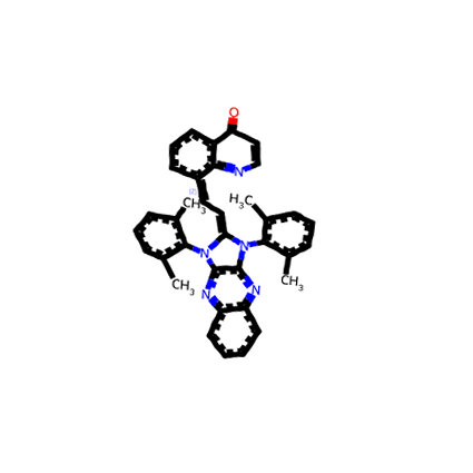 Cc1cccc(C)c1N1C(=C/C=c2/cccc3c2=NC=CC3=O)N(c2c(C)cccc2C)c2nc3ccccc3nc21